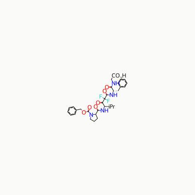 CC(C)C(NC(=O)C1CCCN1C(=O)OCc1ccccc1)C(=O)C(F)(F)C(=O)N[C@@H](Cc1ccccc1)C(=O)NCC(=O)O